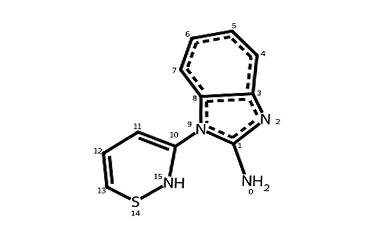 Nc1nc2ccccc2n1C1=CC=CSN1